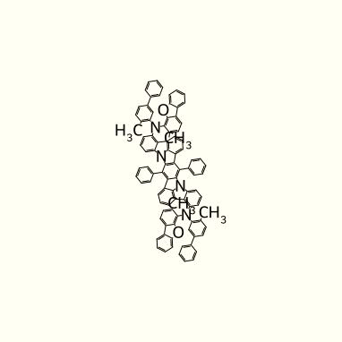 Cc1ccc(-c2ccccc2)cc1N(c1c(C)ccc2c1oc1ccccc12)c1cccc2c1c1cccc3c4c(-c5ccccc5)c5c(c(-c6ccccc6)c4n2c13)c1cccc2c3c(N(c4cc(-c6ccccc6)ccc4C)c4c(C)ccc6c4oc4ccccc46)cccc3n5c21